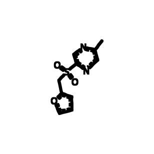 Cc1cnc(S(=O)(=O)Cc2ccco2)cn1